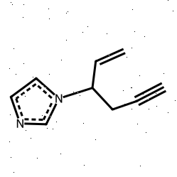 C#CCC(C=C)n1ccnc1